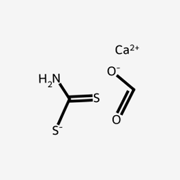 NC(=S)[S-].O=C[O-].[Ca+2]